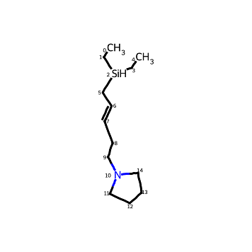 CC[SiH](CC)CC=CCCN1CCCC1